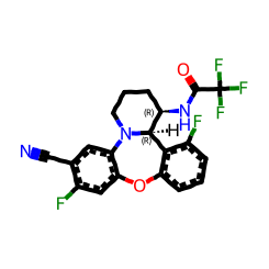 N#Cc1cc2c(cc1F)Oc1cccc(F)c1[C@@H]1[C@H](NC(=O)C(F)(F)F)CCCN21